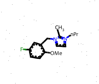 CCCn1cc[n+](Cc2cc(F)ccc2OC)c1C